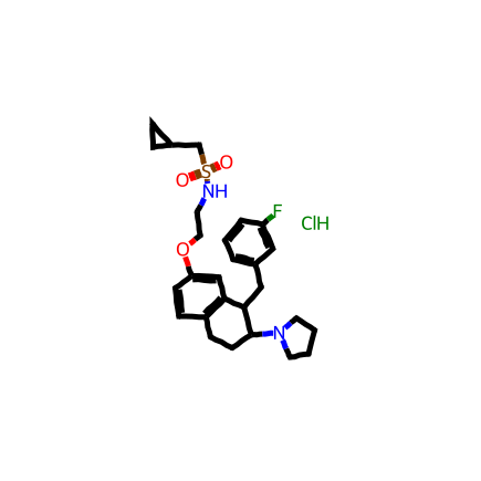 Cl.O=S(=O)(CC1CC1)NCCOc1ccc2c(c1)C(Cc1cccc(F)c1)C(N1CCCC1)CC2